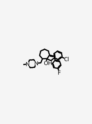 CN1CCN(CC2CCCCC(=Cc3ccc(F)cc3)C2(O)Cc2cccc(Cl)c2)CC1